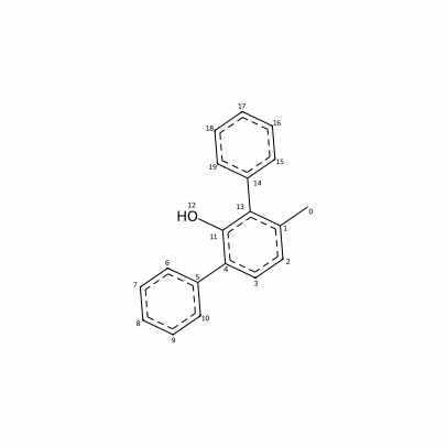 Cc1ccc(-c2ccccc2)c(O)c1-c1ccccc1